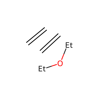 C=C.C=C.CCOCC